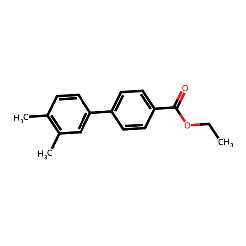 CCOC(=O)c1ccc(-c2ccc(C)c(C)c2)cc1